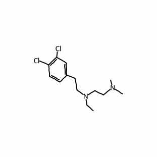 CCN(CCc1ccc(Cl)c(Cl)c1)CCN(C)C